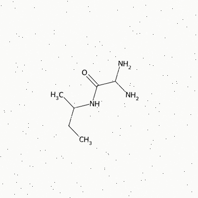 CCC(C)NC(=O)C(N)N